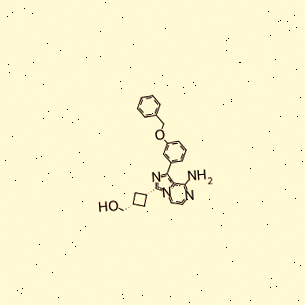 Nc1nccn2c1c(-c1cccc(OCc3ccccc3)c1)nc2[C@H]1C[C@@H](CO)C1